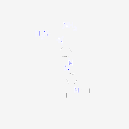 CN(C)c1ccc(N=Nc2ccc(N(CCN)CCN)cc2)cc1